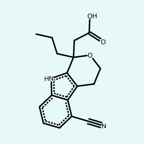 CCCC1(CC(=O)O)OCCc2c1[nH]c1cccc(C#N)c21